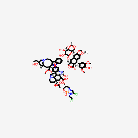 CC[C@]1(O)C[C@H]2CN(CCc3c([nH]c4ccccc34)[C@@](C(=O)OC)(c3cc4c(cc3OC)N(C)[C@H]3[C@@](O)(C(=O)OC)[C@H](OC(C)=O)[C@]5(CC)C=CCN6CC[C@]43[C@@H]65)C2)C1.COc1cc([C@@H]2c3cc4c(cc3[C@@H](O[C@@H]3O[C@@H]5CO[C@@H](C)O[C@H]5[C@H](O)[C@H]3O)[C@H]3COC(=O)[C@H]23)OCO4)cc(OC)c1O.O=P1(NCCCl)OCCCN1CCCl.[Pt]